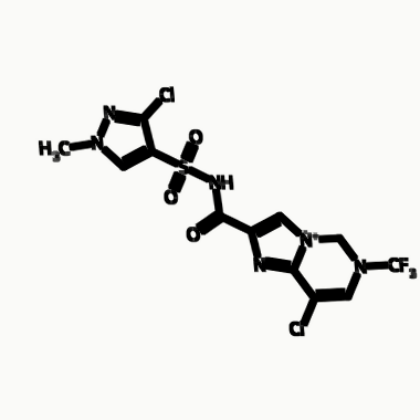 Cn1cc(S(=O)(=O)NC(=O)C2=C[N+]3CN(C(F)(F)F)C=C(Cl)C3=N2)c(Cl)n1